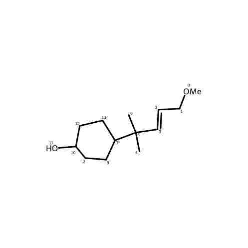 COCC=CC(C)(C)C1CCC(O)CC1